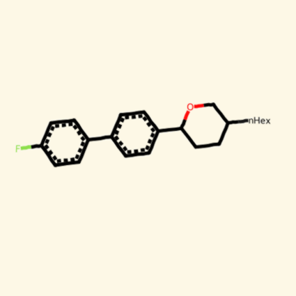 CCCCCCC1CCC(c2ccc(-c3ccc(F)cc3)cc2)OC1